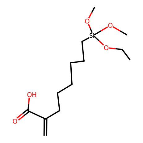 C=C(CCCCCC[Si](OC)(OC)OCC)C(=O)O